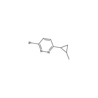 CC(C)c1ccc(C2CC2C)nn1